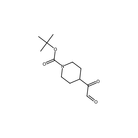 CC(C)(C)OC(=O)N1CCC(C(=O)C=O)CC1